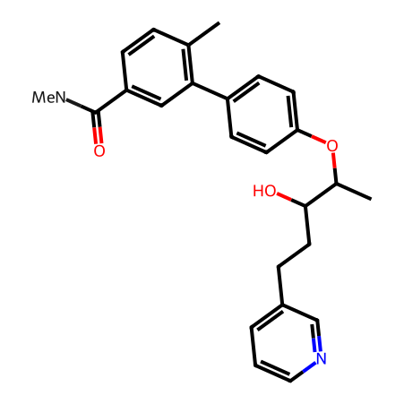 CNC(=O)c1ccc(C)c(-c2ccc(OC(C)C(O)CCc3cccnc3)cc2)c1